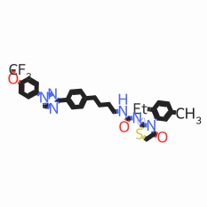 CCc1ccc(C)cc1N1C(=O)CS/C1=N\C(=O)NCCCCc1ccc(-c2ncn(-c3ccc(OC(F)(F)F)cc3)n2)cc1